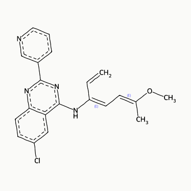 C=C/C(=C\C=C(/C)OC)Nc1nc(-c2cccnc2)nc2ccc(Cl)cc12